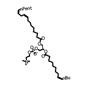 CCCC/C=C\CCCCCCCC(=O)O[C@H](COC(=O)CCCCCCC/C=C\C/C=C\CCCCC)COP(=O)([O-])OCC[N+](C)(C)C